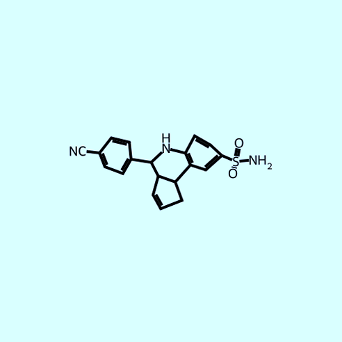 N#Cc1ccc(C2Nc3ccc(S(N)(=O)=O)cc3C3CC=CC32)cc1